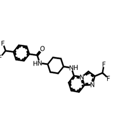 O=C(NC1CCC(Nc2cccc3nc(C(F)F)cn23)CC1)c1ccc(C(F)F)cc1